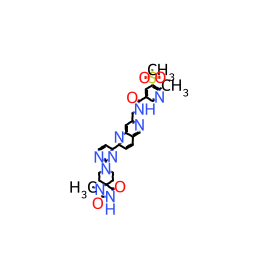 Cc1ncc(C(=O)NCc2cc3nc(-c4ccnc(N5CCC6(CC5)C(=O)NC(=O)N6C)n4)ccc3cn2)cc1S(C)(=O)=O